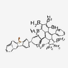 Bc1c(B)c(B)c2c(-c3ccc(-c4ccc5c(c4)sc4cc6ccccc6cc45)cc3)c3c(B)c(B)c(B)c(B)c3c(-c3ccccc3)c2c1B